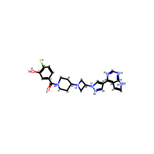 O=C(c1ccc(F)c(O)c1)N1CCC(N2C[C](n3cc(-c4ncnc5[nH]ccc45)cn3)C2)CC1